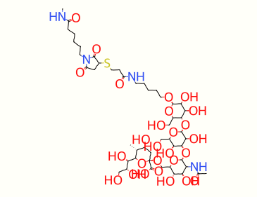 CNC(=O)CCCCCN1C(=O)CC(SCCC(=O)NCCCCCO[C@@H]2OC(CO)[C@@H](O[C@@H]3OC(CO)[C@H](O)[C@H](O[C@@H]4OC(CO[C@]5(C(=O)O)C[C@@H](O)[C@@H](C)C([C@H](O)[C@H](O)CO)O5)[C@@H](O)[C@H](O)C4NC(C)=O)C3O)[C@H](O)C2O)C1=O